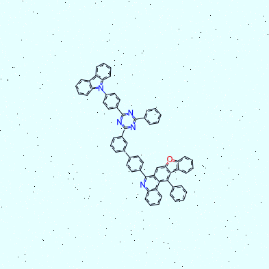 c1ccc(-c2nc(-c3ccc(-n4c5ccccc5c5ccccc54)cc3)nc(-c3cccc(-c4ccc(-c5nc6ccccc6c6c(-c7ccccc7)c7c(cc56)oc5ccccc57)cc4)c3)n2)cc1